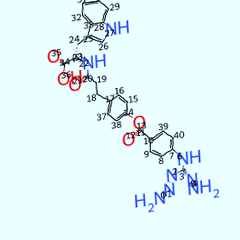 NN=NC(=NN)Nc1ccc(C(=O)Oc2ccc(CCC(=O)N[C@@H](Cc3c[nH]c4ccccc34)C(=O)O)cc2)cc1